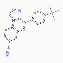 CC(C)(C)c1ccc(-c2nc3cc(C#N)ccc3n3ccnc23)cc1